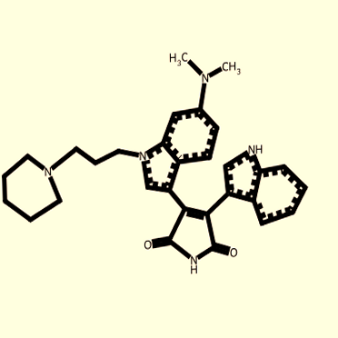 CN(C)c1ccc2c(C3=C(c4c[nH]c5ccccc45)C(=O)NC3=O)cn(CCCN3CCCCC3)c2c1